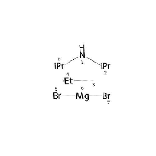 CC(C)NC(C)C.C[CH]C.[Br][Mg][Br]